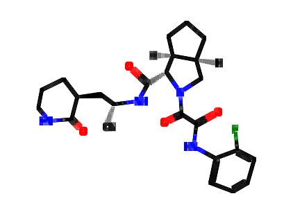 N#C[C@H](C[C@@H]1CCCNC1=O)NC(=O)[C@@H]1[C@H]2CCC[C@H]2CN1C(=O)C(=O)Nc1ccccc1F